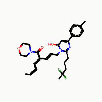 C\C=C/C=C(\C=C\CN1C(CCCC(C)(F)F)=NC(c2ccc(C)cc2)=CC1O)C(=O)N1CCOCC1